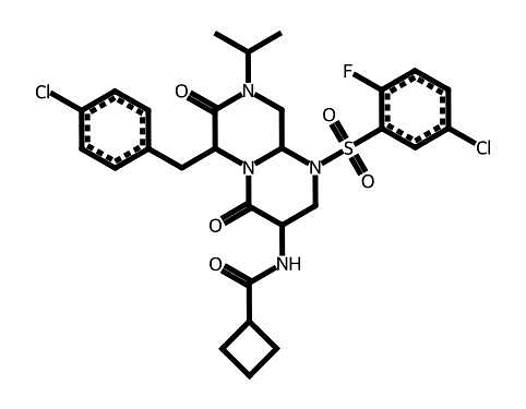 CC(C)N1CC2N(C(=O)C(NC(=O)C3CCC3)CN2S(=O)(=O)c2cc(Cl)ccc2F)C(Cc2ccc(Cl)cc2)C1=O